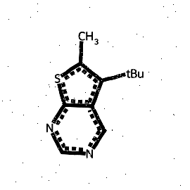 Cc1sc2ncncc2c1C(C)(C)C